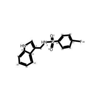 O=S(=O)(NCc1c[nH]c2ccccc12)c1ccc(F)cc1